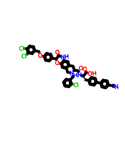 N#Cc1ccc(-c2ccc(C[C@H](NC(=O)C3Cc4cc5c(cc4CN3Cc3ccccc3Cl)OC(c3ccc(OCc4ccc(Cl)c(Cl)c4)cc3)C(=O)N5)C(=O)O)cc2)cc1